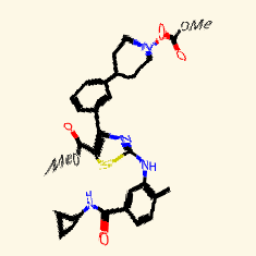 COC(=O)ON1CCC(c2cccc(-c3nc(Nc4cc(C(=O)NC5CC5)ccc4C)sc3C(=O)OC)c2)CC1